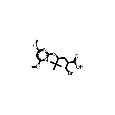 COc1cc(OC)nc(SC(CC(CBr)C(=O)O)C(C)(C)C)n1